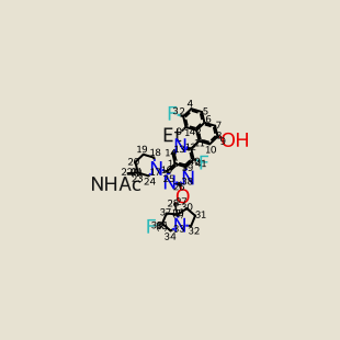 CCc1c(F)ccc2cc(O)cc(-c3ncc4c(N5CCC[C@@](C)(NC(C)=O)C5)nc(OC[C@@]56CCCN5C[C@H](F)C6)nc4c3F)c12